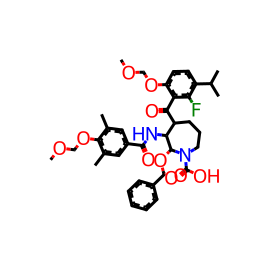 COCOc1ccc(C(C)C)c(F)c1C(=O)C1CCCN(C(=O)O)C(OC(=O)c2ccccc2)C1NC(=O)c1cc(C)c(OCOC)c(C)c1